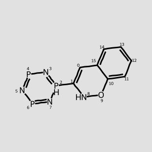 C1=C([PH]2=NP=NP=N2)NOc2ccccc21